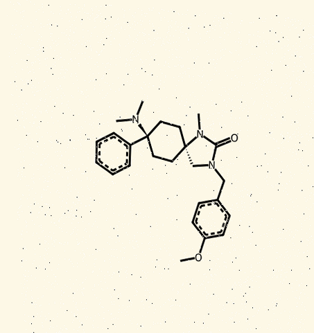 COc1ccc(CN2C[C@]3(CC[C@](c4ccccc4)(N(C)C)CC3)N(C)C2=O)cc1